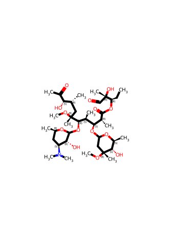 CC[C@@H](OC(=O)[C@H](C)[C@@H](OC1C[C@@](C)(OC)[C@@H](O)[C@H](C)O1)[C@H](C)[C@@H](OC1O[C@H](C)C[C@H](N(C)C)[C@H]1O)[C@@](C)(C[C@@H](C)[C@H](O)C(C)=O)OC)[C@@](C)(O)C=O